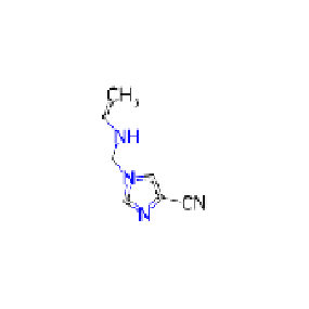 C=CNCn1cnc(C#N)c1